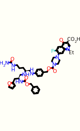 CCn1cc(C(=O)O)c(=O)c2cc(F)c(N3CCN(C(=O)OCc4ccc(NC[C@H](CCCNC(N)=O)NC[C@H](Cc5ccco5)NC(=O)OCc5ccccc5)cc4)CC3)cc21